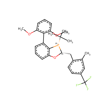 COc1cccc(OC)c1-c1cccc2c1[P@](C(C)(C)C)[C@H](Cc1ccc(C(F)(F)F)cc1C)O2